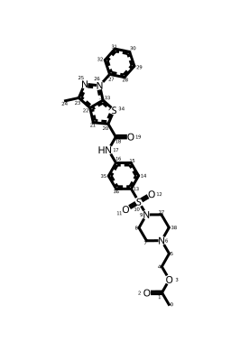 CC(=O)OCCN1CCN(S(=O)(=O)c2ccc(NC(=O)c3cc4c(C)nn(-c5ccccc5)c4s3)cc2)CC1